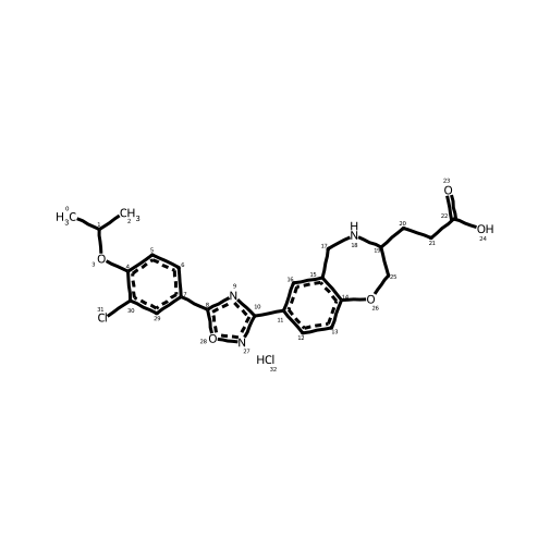 CC(C)Oc1ccc(-c2nc(-c3ccc4c(c3)CNC(CCC(=O)O)CO4)no2)cc1Cl.Cl